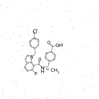 C[C@H](NC(=O)c1c(F)ccc2ccn(Cc3ccc(Cl)cc3)c12)c1ccc(C(=O)O)cc1